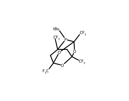 CC(C)(C)P1C2(C(F)(F)F)CC3(C(F)(F)F)OC(C(F)(F)F)(C2)OC1(C(F)(F)F)O3